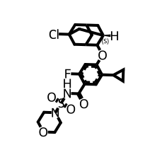 O=C(NS(=O)(=O)N1CCOCC1)c1cc(C2CC2)c(OC2C3CC4C[C@H]2CC(Cl)(C4)C3)cc1F